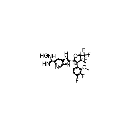 COc1c([C@H]2[C@H](c3nc4cnc(C(=N)NO)cc4[nH]3)O[C@@](C)(C(F)(F)F)[C@H]2C)ccc(F)c1F